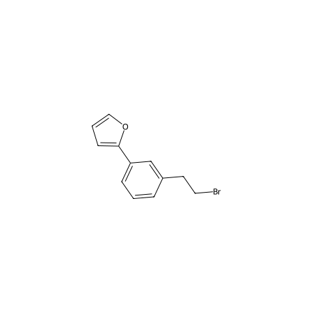 BrCCc1cccc(-c2ccco2)c1